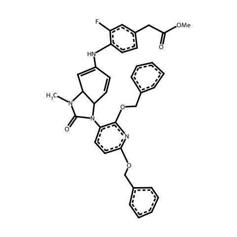 COC(=O)Cc1ccc(NC2=CC3C(C=C2)N(c2ccc(OCc4ccccc4)nc2OCc2ccccc2)C(=O)N3C)c(F)c1